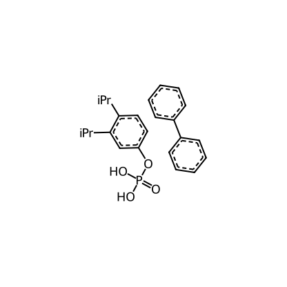 CC(C)c1ccc(OP(=O)(O)O)cc1C(C)C.c1ccc(-c2ccccc2)cc1